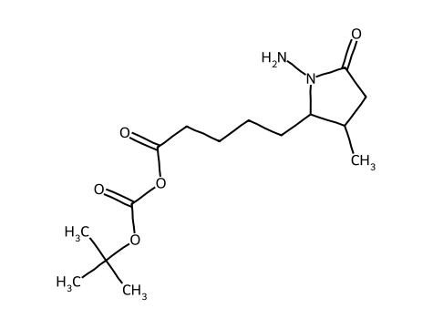 CC1CC(=O)N(N)C1CCCCC(=O)OC(=O)OC(C)(C)C